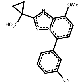 COc1ccc(-c2cccc(C#N)c2)n2nc(C3(C(=O)O)CC3)nc12